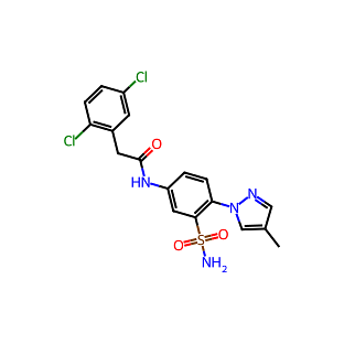 Cc1cnn(-c2ccc(NC(=O)Cc3cc(Cl)ccc3Cl)cc2S(N)(=O)=O)c1